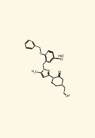 Cc1cc(N2CCN(CCO)CC2=O)nn1Cc1cc(Cl)ccc1OCc1ccccc1.Cl